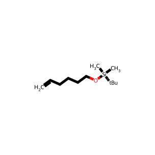 C=CCCCCO[Si](C)(C)C(C)(C)C